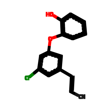 N#CC=Cc1cc(Cl)cc(Oc2ccccc2O)c1